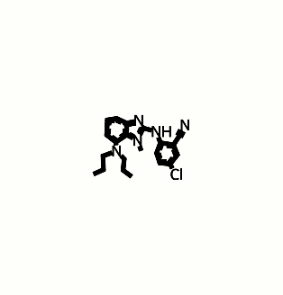 CCCN(CCC)c1cccc2nc(Nc3ccc(Cl)cc3C#N)n(C)c12